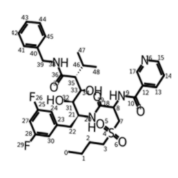 CCCCS(=O)(=O)CC(NC(=O)c1cccnc1)C(=O)N[C@@H](Cc1cc(F)cc(F)c1)[C@@H](O)[C@H](O)[C@H](C(=O)NCc1ccccc1)C(C)C